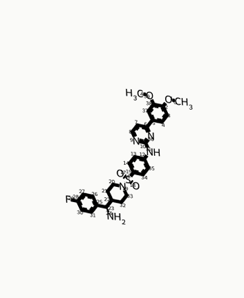 COc1ccc(-c2ccnc(Nc3ccc(S(=O)(=O)N4CCC([C@@H](N)c5ccc(F)cc5)CC4)cc3)n2)cc1OC